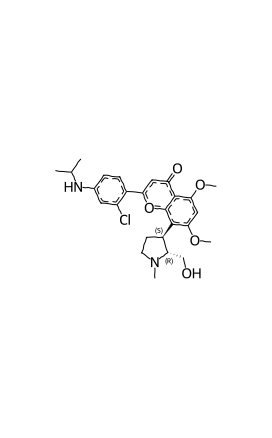 COc1cc(OC)c2c(=O)cc(-c3ccc(NC(C)C)cc3Cl)oc2c1[C@@H]1CCN(C)[C@H]1CO